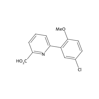 COc1ccc(Cl)cc1-c1cccc(C(=O)O)n1